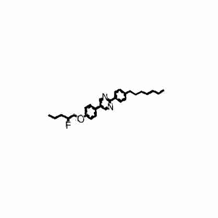 CCCCCCCc1ccc(-c2ncc(-c3ccc(OCC(F)CCC)cc3)cn2)cc1